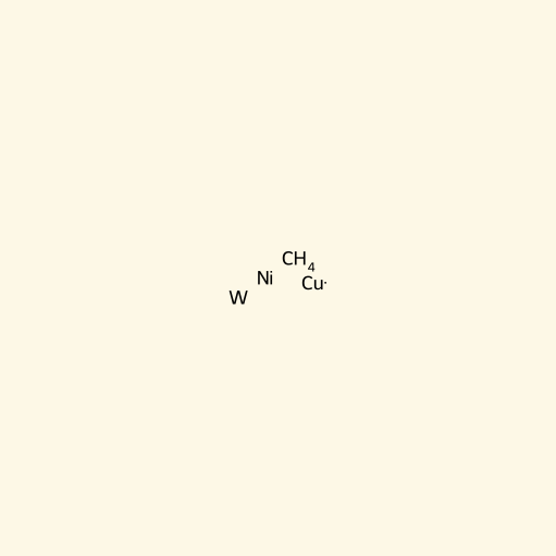 C.[Cu].[Ni].[W]